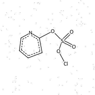 O=S(=O)(OCl)Oc1ccccn1